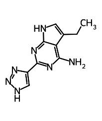 CCc1c[nH]c2nc(-c3c[nH]nn3)nc(N)c12